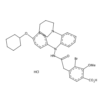 COc1c(C(=O)O)ccc(CC(=O)NN(c2ccc(OC3CCCCC3)cc2)c2ccccc2N2CCCCC2)c1Br.Cl